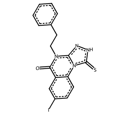 O=c1c2cc(I)ccc2n2c(=S)[nH]nc2n1CCc1ccccc1